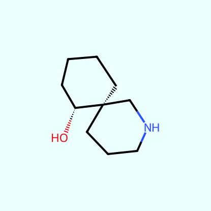 O[C@@H]1CCCC[C@]12CCCNC2